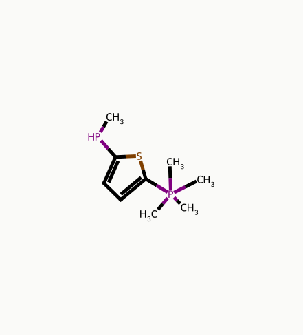 CPc1ccc(P(C)(C)(C)C)s1